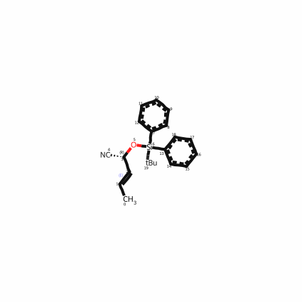 C/C=C/[C@H](C#N)O[Si](c1ccccc1)(c1ccccc1)C(C)(C)C